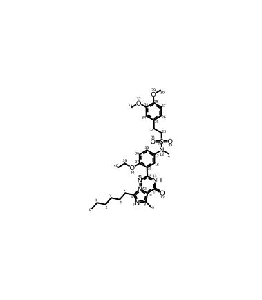 CCCCCCc1nc(C)c2c(=O)[nH]c(-c3cc(N(C)S(=O)(=O)CCc4ccc(OC)c(OC)c4)ccc3OCC)nn12